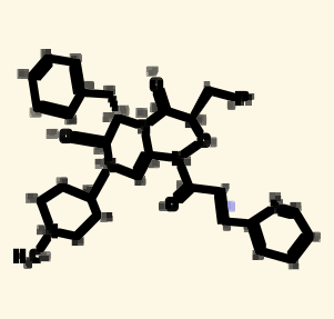 CC(C)C[C@H]1ON(C(=O)/C=C/c2ccccn2)C2=CN(C3CCN(C)CC3)C(=O)[C@H](Cc3ccccc3)N2C1=O